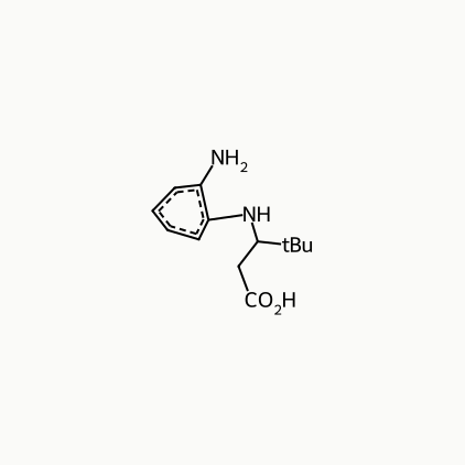 CC(C)(C)C(CC(=O)O)Nc1ccccc1N